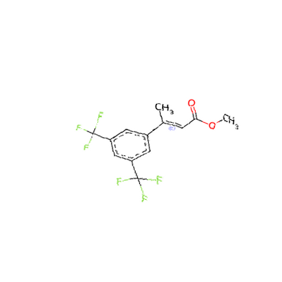 COC(=O)/C=C(\C)c1cc(C(F)(F)F)cc(C(F)(F)F)c1